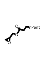 CCCCCCCC(=O)OCC1CO1